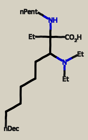 CCCCCCCCCCCCCCCC(N(CC)CC)C(CC)(NCCCCC)C(=O)O